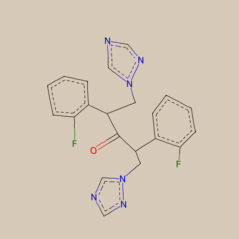 O=C(C(Cn1cncn1)c1ccccc1F)C(Cn1cncn1)c1ccccc1F